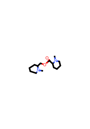 CN1CCCCC1COC(=O)C1CCCCN1C